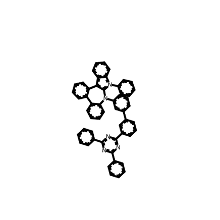 c1ccc(-c2nc(-c3ccccc3)nc(-c3cccc(-c4cccc(N5c6ccccc6-c6ccccc6-c6c5n(-c5ccccc5)c5ccccc65)c4)c3)n2)cc1